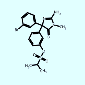 CC(C)S(=O)(=O)Oc1cccc(C2(c3cccc(Br)c3)N=C(N)N(C)C2=O)c1